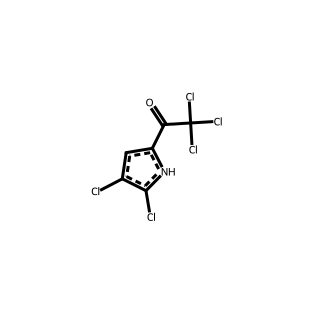 O=C(c1cc(Cl)c(Cl)[nH]1)C(Cl)(Cl)Cl